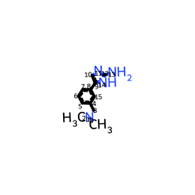 CN(C)Cc1cccc(-c2cnc(N)[nH]2)c1